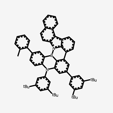 Cc1ccccc1-c1ccc2c(c1)B1c3c(cc(-c4cc(C(C)(C)C)cc(C(C)(C)C)c4)cc3N2c2cc(C(C)(C)C)cc(C(C)(C)C)c2)-c2cccc3c4c5ccccc5ccc4n1c23